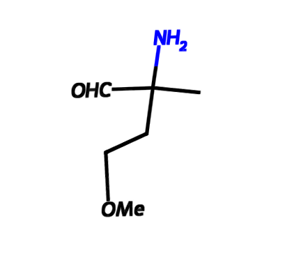 COCCC(C)(N)C=O